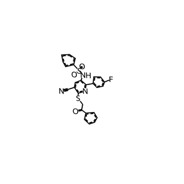 N#Cc1cc(NS(=O)(=O)c2ccccc2)c(-c2ccc(F)cc2)nc1SCC(=O)c1ccccc1